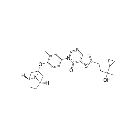 Cc1cc(-n2cnc3cc(CCC(C)(O)C4CC4)sc3c2=O)ccc1O[C@H]1C[C@H]2CC[C@@H](C1)N2C